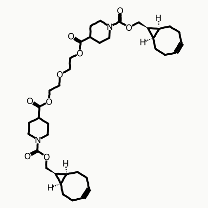 O=C(OCCOCCOC(=O)C1CCN(C(=O)OC[C@@H]2[C@@H]3CCC#CCC[C@@H]32)CC1)C1CCN(C(=O)OC[C@@H]2[C@@H]3CCC#CCC[C@@H]32)CC1